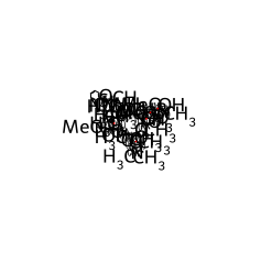 CON=C1C[C@@H](C)O[C@@H](O[C@@H]2[C@@H](C)[C@H](O[C@H]3C[C@H](C)N(C)C[C@H](C)O3)[C@@H](C)C(=O)O[C@H](C(C)CO[C@@H]3O[C@H](C)[C@@H](O)[C@@H](OC)[C@H]3OC)[C@H](C)[C@@H](OC(=O)CC(C)C)[C@@H](C)C(=O)[C@@](C)(OC(=O)NC(C)(C)CNS(=O)(=O)c3ccccc3[N+](=O)[O-])C[C@@H]2C)[C@@H]1O